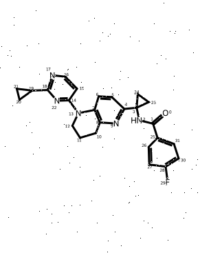 O=C(NC1(c2ccc3c(n2)CCCN3c2ccnc(C3CC3)n2)CC1)c1ccc(F)cc1